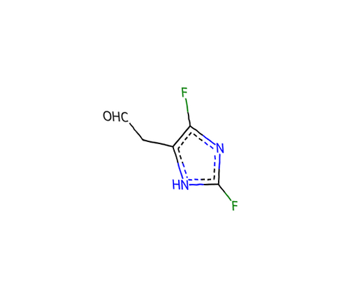 O=CCc1[nH]c(F)nc1F